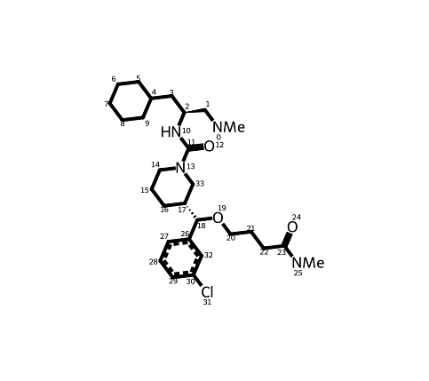 CNC[C@H](CC1CCCCC1)NC(=O)N1CCC[C@@H](C(OCCCC(=O)NC)c2cccc(Cl)c2)C1